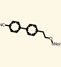 CCCCCCCCCOCCc1ccc(-c2ccc(C#N)cc2)cc1